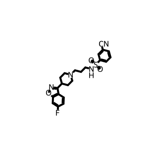 N#Cc1cccc(S(=O)(=O)NCCCN2CCC(c3noc4cc(F)ccc34)CC2)c1